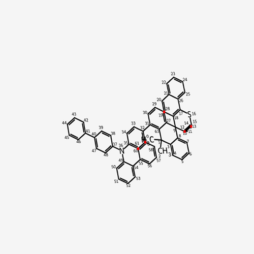 CC1(C)c2ccccc2C2(c3ccccc3Sc3c2ccc2ccccc32)c2cccc(-c3ccc(N(c4ccc(-c5ccccc5)cc4)c4ccccc4-c4ccccc4)cc3)c21